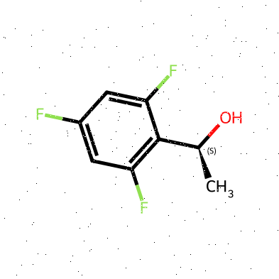 C[C@H](O)c1c(F)cc(F)cc1F